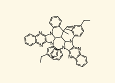 C=CC1(C)c2ccccc2N2c3nc4ccccc4nc3N(c3ccccc3)C2C1C1N(c2ccc(CC)cc2)c2nc3ccccc3nc2N1c1ccc(CC)cc1C